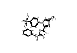 CS(=O)(=O)c1ccc(-n2cc(C(F)(F)F)nc2-c2nnc(Nc3ccccc3)s2)cc1